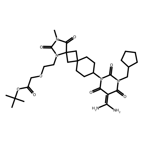 CN1C(=O)N(CCOCC(=O)OC(C)(C)C)C2(CC3(CCC(N4C(=O)C(=C(N)N)C(=O)N(CC5CCCC5)C4=O)CC3)C2)C1=O